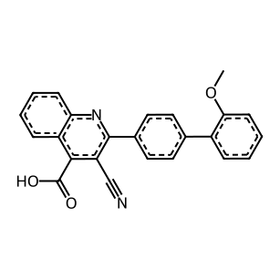 COc1ccccc1-c1ccc(-c2nc3ccccc3c(C(=O)O)c2C#N)cc1